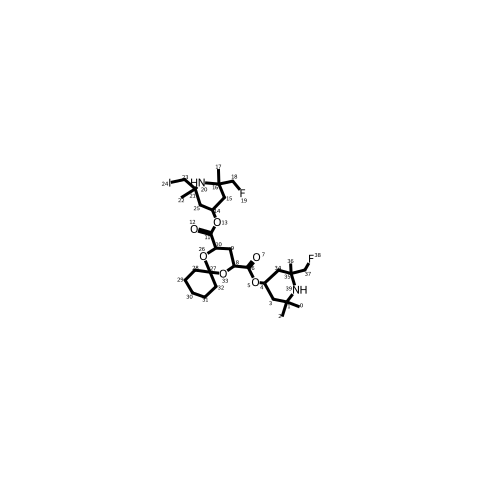 CC1(C)CC(OC(=O)C2CC(C(=O)OC3CC(C)(CF)NC(C)(CI)C3)OC3(CCCCC3)O2)CC(C)(CF)N1